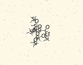 CCC(=O)[SiH](O[Si](C)(O[Si](C)(C)C)O[Si](C)(C)C)O[Si](C)(O[Si](C)(C)C)O[Si](C)(C)C